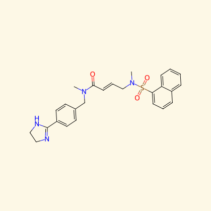 CN(Cc1ccc(C2=NCCN2)cc1)C(=O)/C=C/CN(C)S(=O)(=O)c1cccc2ccccc12